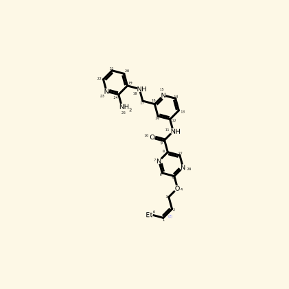 CC/C=C\COc1cnc(C(=O)Nc2ccnc(CNc3cccnc3N)c2)cn1